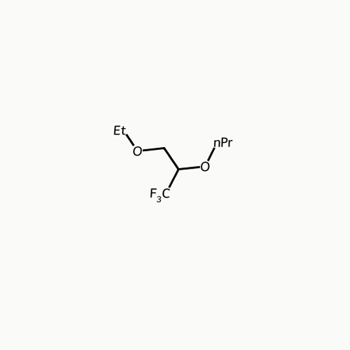 CCCOC(COCC)C(F)(F)F